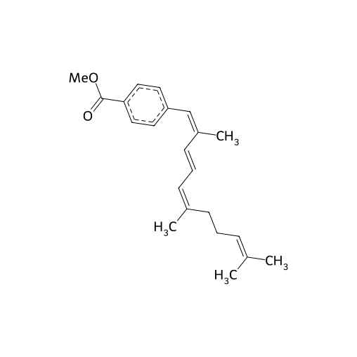 COC(=O)c1ccc(C=C(C)C=CC=C(C)CCC=C(C)C)cc1